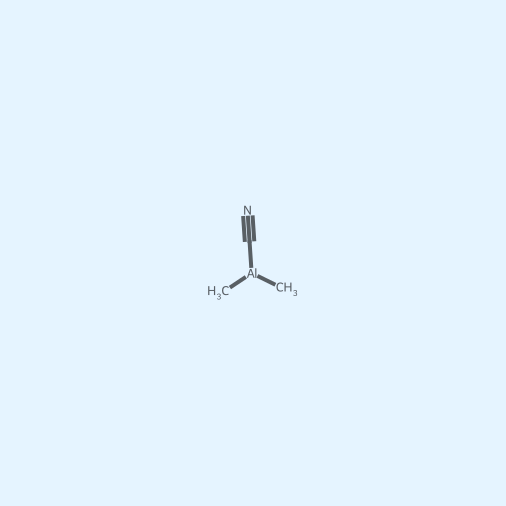 [CH3][Al]([CH3])[C]#N